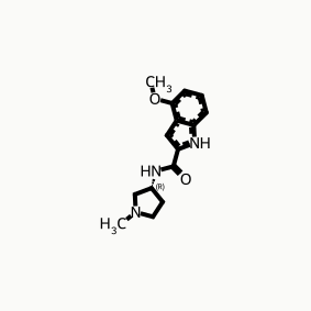 COc1cccc2[nH]c(C(=O)N[C@@H]3CCN(C)C3)cc12